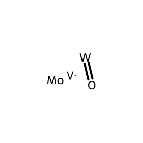 [Mo].[O]=[W].[V]